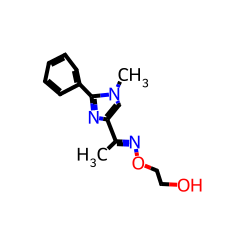 CC(=NOCCO)c1cn(C)c(-c2ccccc2)n1